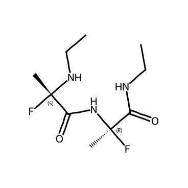 CCNC(=O)[C@@](C)(F)NC(=O)[C@](C)(F)NCC